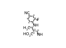 C/C(Nc1ccc(C#N)cc1F)=C(/C=N)C(=O)O